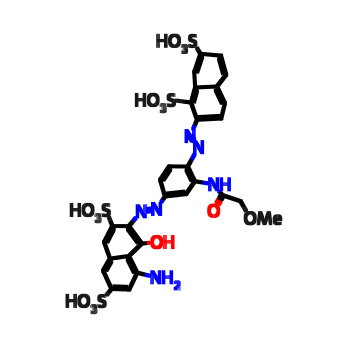 COCC(=O)Nc1cc(N=Nc2c(S(=O)(=O)O)cc3cc(S(=O)(=O)O)cc(N)c3c2O)ccc1N=Nc1ccc2ccc(S(=O)(=O)O)cc2c1S(=O)(=O)O